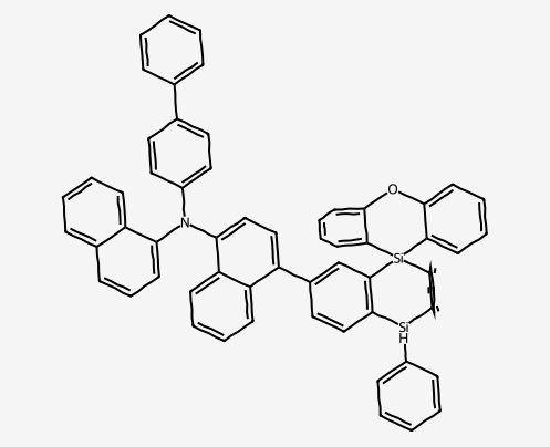 c1ccc(-c2ccc(N(c3cccc4ccccc34)c3ccc(-c4ccc5c(c4)[Si]4(c6ccccc6Oc6ccccc64)c4ccccc4[SiH]5c4ccccc4)c4ccccc34)cc2)cc1